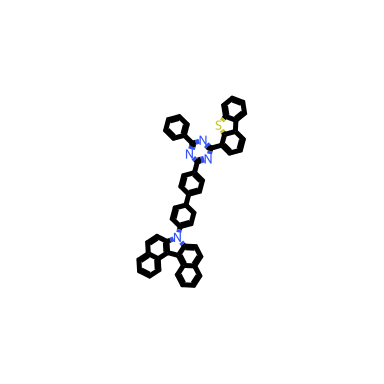 C1=CC2c3ccccc3SC2C(c2nc(-c3ccccc3)nc(-c3ccc(C4C=CC(n5c6ccc7ccccc7c6c6c7ccccc7ccc65)=CC4)cc3)n2)=C1